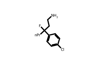 CCCC(F)(CCN)c1ccc(Cl)cc1